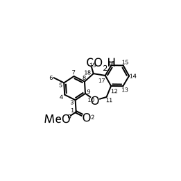 COC(=O)c1cc(C)cc2c1OCc1ccccc1C2C(=O)O